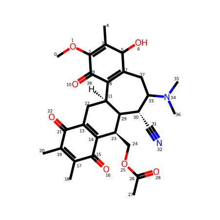 COC1=C(C)C(O)C2=C(C1=O)[C@@H]1CC3=C(C(=O)C(C)=C(C)C3=O)[C@H](COC(C)=O)C1[C@@H](C#N)C(N(C)C)C2